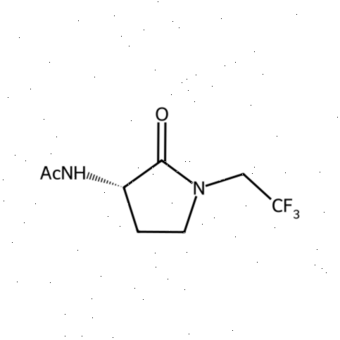 CC(=O)N[C@H]1CCN(CC(F)(F)F)C1=O